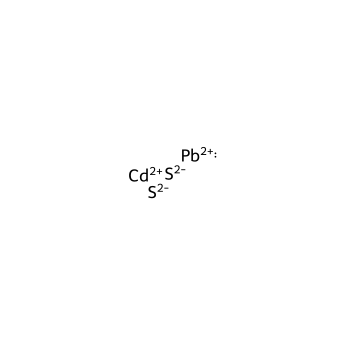 [Cd+2].[Pb+2].[S-2].[S-2]